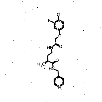 C=C(CCNC(=O)COc1ccc(Cl)c(F)c1)C(=O)NCc1ccncc1